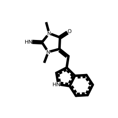 CN1C(=N)N(C)C(=Cc2c[nH]c3ccccc23)C1=O